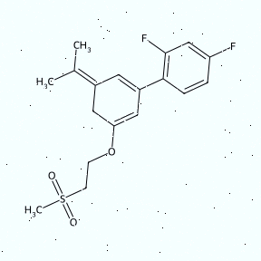 CC(C)=C1C=C(c2ccc(F)cc2F)C=C(OCCS(C)(=O)=O)C1